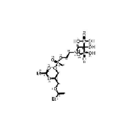 C=C(CC)OCC(COP(C)(=O)OCCNCC(O)(P(=O)(O)O)P(=O)(O)O)OC(=O)CC